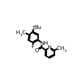 Cc1cccc(C(=O)Nc2cc(C(C)(C)C)c(C)cc2F)n1